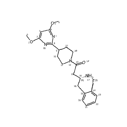 COc1cc(OC)nc(C2CCN(C(=O)C[C@H](N)Cc3ccccc3F)CC2)n1